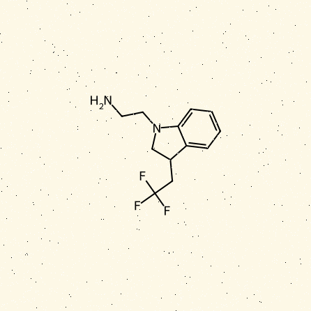 NCCN1CC(CC(F)(F)F)c2ccccc21